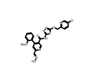 COc1ccccc1-c1cc(/C=N/O)ncc1C(=O)Nc1nnc(OCc2ccc(Cl)cn2)s1